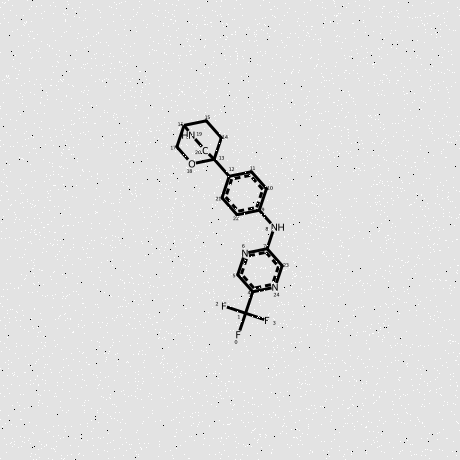 FC(F)(F)c1cnc(Nc2ccc(C34CCC(CO3)NC4)cc2)cn1